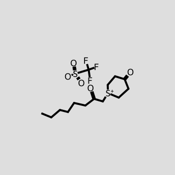 CCCCCCC(=O)C[S+]1CCC(=O)CC1.O=S(=O)([O-])C(F)(F)F